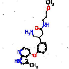 COCCCNC(=O)CC(CN)c1cccc(Oc2ccnc3[nH]cc(C)c23)c1